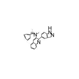 C[C@@H](c1ccccc1)N(C)c1cc2ccccc2nc1-c1ccc2[nH]ncc2c1